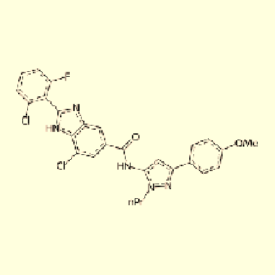 CCCn1nc(-c2ccc(OC)cc2)cc1NC(=O)c1cc(Cl)c2[nH]c(-c3c(F)cccc3Cl)nc2c1